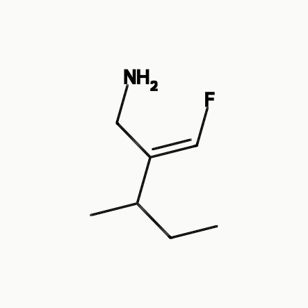 CCC(C)C(=CF)CN